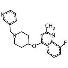 Cc1cc(OC2CCN(Cc3cccnc3)CC2)c2cccc(F)c2n1